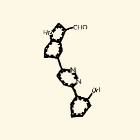 O=Cc1c[nH]c2ccc(-c3ccc(-c4ccccc4O)nn3)cc12